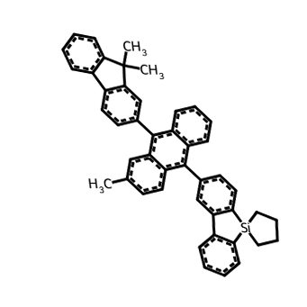 Cc1ccc2c(-c3ccc4c(c3)-c3ccccc3[Si]43CCCC3)c3ccccc3c(-c3ccc4c(c3)C(C)(C)c3ccccc3-4)c2c1